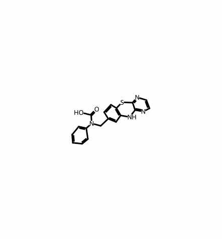 O=C(O)N(Cc1ccc2c(c1)Nc1nccnc1S2)c1ccccc1